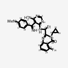 CCC(Nc1ncnc(N)c1C(=N)c1ccc(NC)cc1)c1nc2cccc(F)c2c(=O)n1C1CC1